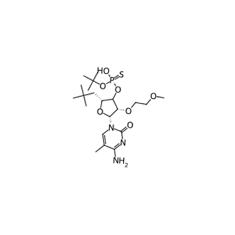 COCCO[C@H]1C(OP(O)(=S)OC(C)(C)C)[C@@H](CC(C)(C)C)O[C@H]1n1cc(C)c(N)nc1=O